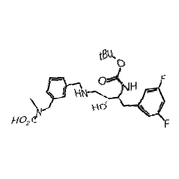 CN(Cc1cccc(CNC[C@@H](O)[C@H](Cc2cc(F)cc(F)c2)NC(=O)OC(C)(C)C)c1)C(=O)O